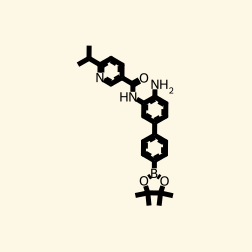 CC(C)c1ccc(C(=O)Nc2cc(-c3ccc(B4OC(C)(C)C(C)(C)O4)cc3)ccc2N)cn1